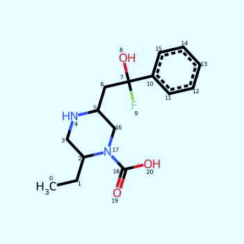 CCC1CNC(CC(O)(F)c2ccccc2)CN1C(=O)O